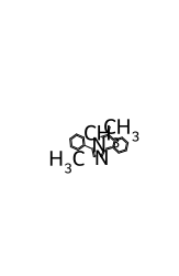 Cc1cccc(C)c1-c1cnc2c3ccccc3c(C)cn12